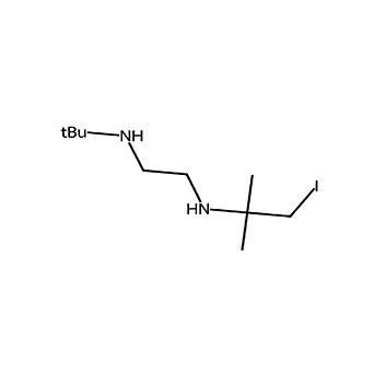 CC(C)(C)NCCNC(C)(C)CI